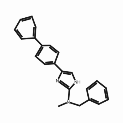 CN(Cc1ccccc1)c1nc(-c2ccc(-c3ccccc3)cc2)c[nH]1